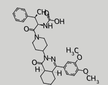 COc1ccc(C2=NN(C3CCN(C(=O)[C@H](NC(=O)O)[C@H](C)c4ccccc4)CC3)C(=O)[C@@H]3CCCC[C@H]23)cc1OC